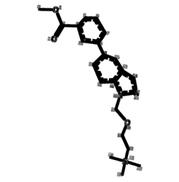 COC(=O)c1cccc(-c2ccc3c(cnn3COCC[Si](C)(C)C)c2)c1